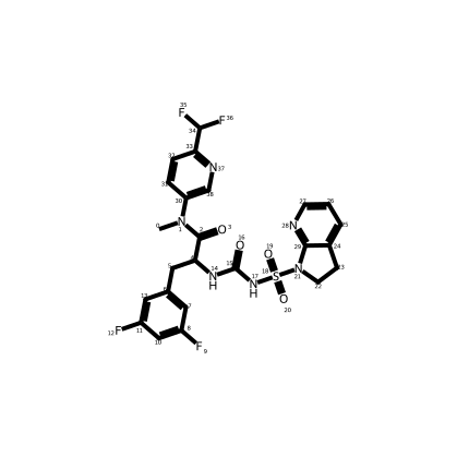 CN(C(=O)C(Cc1cc(F)cc(F)c1)NC(=O)NS(=O)(=O)N1CCc2cccnc21)c1ccc(C(F)F)nc1